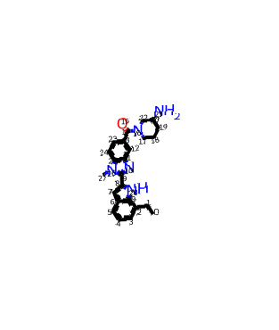 CCc1cccc2cc(-c3nc4cc(C(=O)N5CCC[C@@H](N)C5)ccc4n3C)[nH]c12